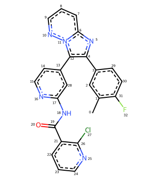 Cc1cc(-c2nc3cccnn3c2-c2ccnc(NC(=O)c3cccnc3Cl)c2)ccc1F